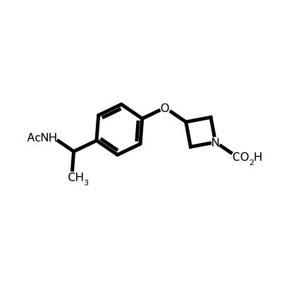 CC(=O)NC(C)c1ccc(OC2CN(C(=O)O)C2)cc1